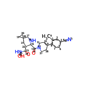 Cc1cc(C#N)ccc1C1=CCN(C(=O)C2NCC3(CC3)CC2C(=O)NO)CC1